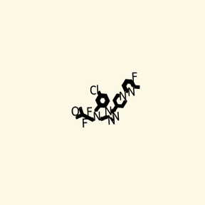 Cc1nc(N2CCC(c3nnc4n3-c3ccc(Cl)cc3CN(CC(F)(F)C3COC3)C4)CC2)ccc1F